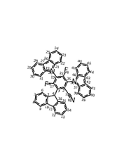 N#Cc1c(C2c3ccccc3-c3ccccc32)c(F)c(-n2c3ccccc3c3ccccc32)c(F)c1-n1c2ccccc2c2ccccc21